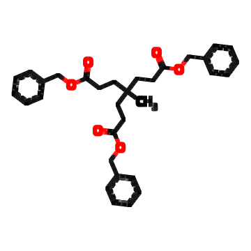 CC(CCC(=O)OCc1ccccc1)(CCC(=O)OCc1ccccc1)CCC(=O)OCc1ccccc1